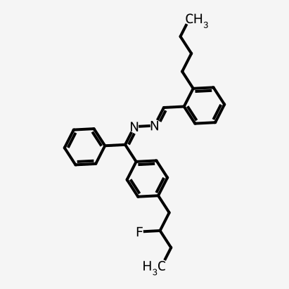 CCCCc1ccccc1C=NN=C(c1ccccc1)c1ccc(CC(F)CC)cc1